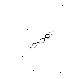 C=C(O)N1CCC(CCN2CCC(c3ccc(S(C)(=O)=O)cc3)CC2)CC1